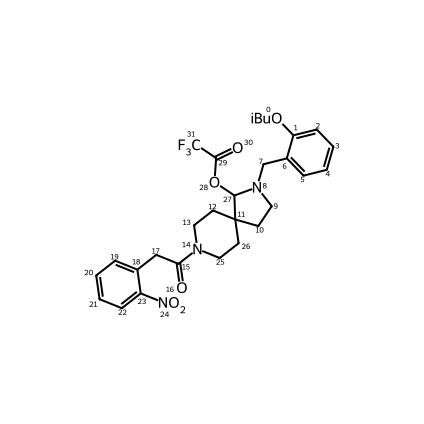 CC(C)COc1ccccc1CN1CCC2(CCN(C(=O)Cc3ccccc3[N+](=O)[O-])CC2)C1OC(=O)C(F)(F)F